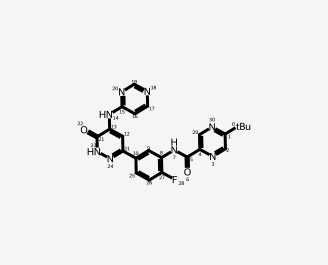 CC(C)(C)c1cnc(C(=O)Nc2cc(-c3cc(Nc4ccncn4)c(=O)[nH]n3)ccc2F)cn1